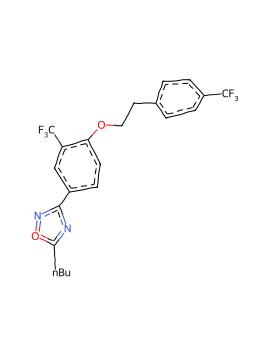 CCCCc1nc(-c2ccc(OCCc3ccc(C(F)(F)F)cc3)c(C(F)(F)F)c2)no1